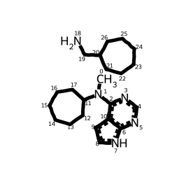 CN(c1ncnc2[nH]ccc12)C1CCCCCC1.NCC1CCCCCC1